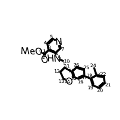 COC(=O)c1ccncc1NC[C@H]1CCOc2cc(-c3ccccc3C)ccc21